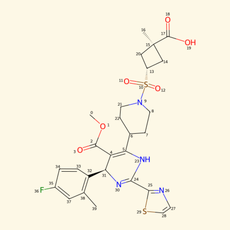 COC(=O)C1=C(C2CCN(S(=O)(=O)[C@H]3C[C@](C)(C(=O)O)C3)CC2)NC(c2nccs2)=N[C@H]1c1ccc(F)cc1C